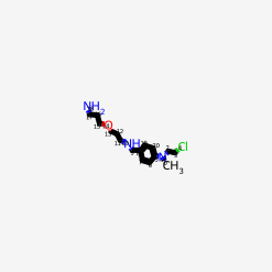 CN(CCCl)c1ccc(CNCCCOCCCN)cc1